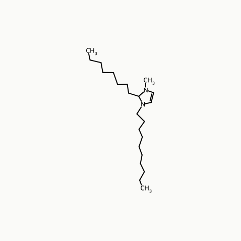 CCCCCCCCCCN1C=CN(C)C1CCCCCCCC